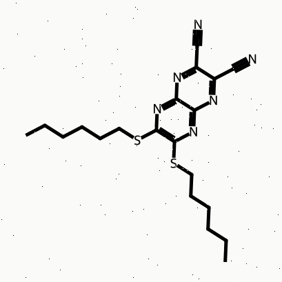 CCCCCCSc1nc2nc(C#N)c(C#N)nc2nc1SCCCCCC